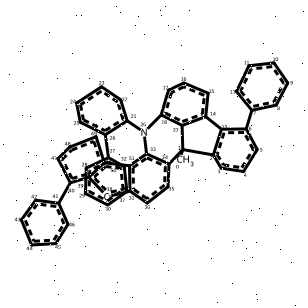 CC12c3cccc(-c4ccccc4)c3-c3cccc(c31)N(c1ccccc1-c1ccccc1)c1c2ccc2oc3c(-c4ccccc4)cccc3c12